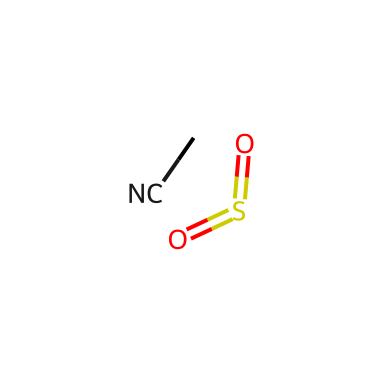 CC#N.O=S=O